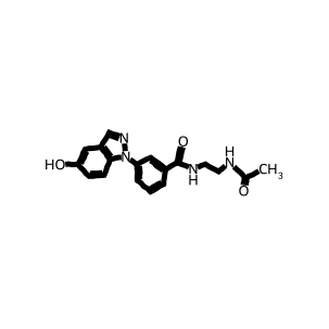 CC(=O)NCCNC(=O)c1cccc(-n2ncc3cc(O)ccc32)c1